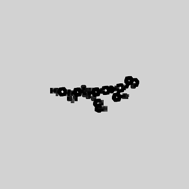 CC(C)c1ccccc1C1CN(Cc2cccc3c2OCCC3)CCN1C1CC2(CCN(c3ccc(C(=O)NS(=O)(=O)c4ccc(NC[C@H]5CC[C@](C)(O)CC5)c([N+](=O)[O-])c4)c(Oc4cnc5[nH]ccc5c4)c3)CC2)C1